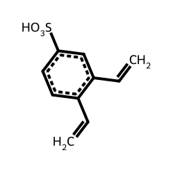 C=Cc1ccc(S(=O)(=O)O)cc1C=C